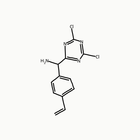 C=Cc1ccc(C(N)c2nc(Cl)nc(Cl)n2)cc1